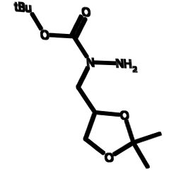 CC(C)(C)OC(=O)N(N)CC1COC(C)(C)O1